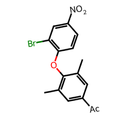 CC(=O)c1cc(C)c(Oc2ccc([N+](=O)[O-])cc2Br)c(C)c1